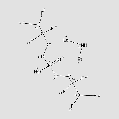 CCNCC.O=P(O)(OCC(F)(F)C(F)F)OCC(F)(F)C(F)F